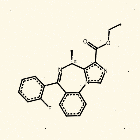 CCOC(=O)c1ncn2c1[C@H](C)N=C(c1ccccc1F)c1ccccc1-2